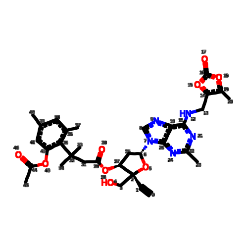 C#C[C@]1(CO)O[C@@H](n2cnc3c(NCc4oc(=O)oc4C)nc(C)nc32)C[C@@H]1OC(=O)CC(C)(C)c1c(C)cc(C)cc1OC(C)=O